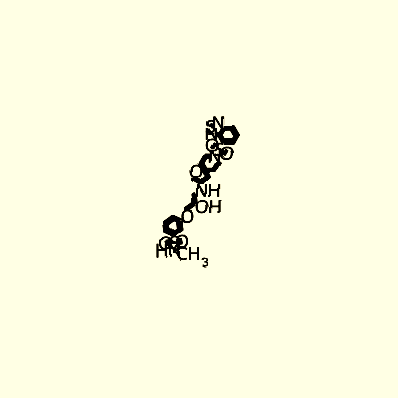 CNS(=O)(=O)c1cccc(OCC(O)CNC2COC3(CCN(S(=O)(=O)c4cccc5nsnc45)CC3)C2)c1